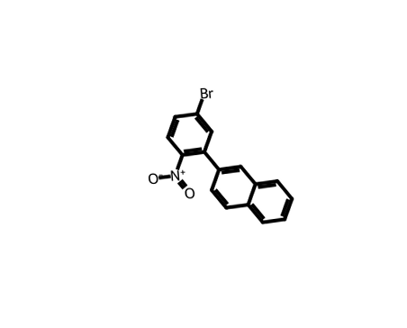 O=[N+]([O-])c1ccc(Br)cc1-c1ccc2ccccc2c1